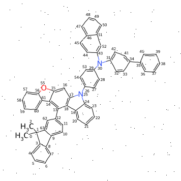 CC1(C)c2ccccc2-c2ccc(-c3c4c(cc5c3c3ccccc3n5-c3ccc(N(c5ccc(-c6ccccc6)cc5)c5ccc6ccccc6c5)cc3)oc3ccccc34)cc21